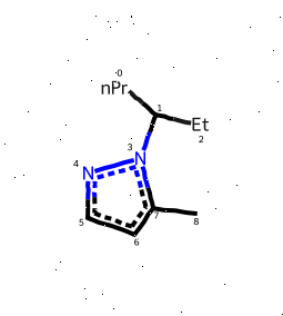 CCCC(CC)n1nccc1C